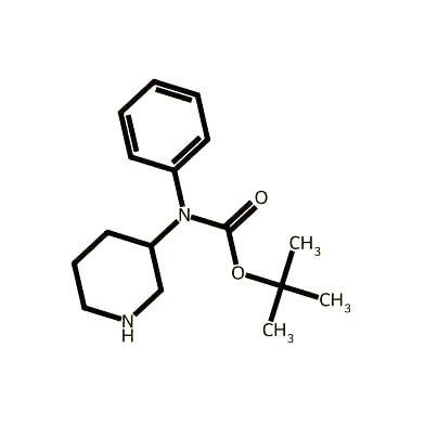 CC(C)(C)OC(=O)N(c1ccccc1)C1CCCNC1